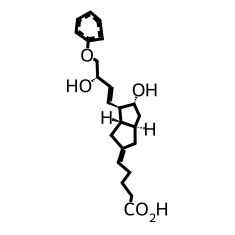 O=C(O)CCC/C=C1\C[C@@H]2C[C@@H](O)[C@H](/C=C/[C@H](O)COc3ccccc3)[C@H]2C1